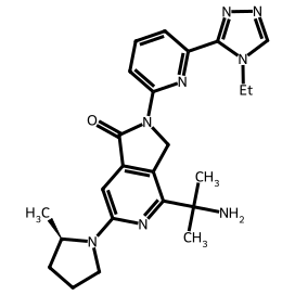 CCn1cnnc1-c1cccc(N2Cc3c(cc(N4CCC[C@H]4C)nc3C(C)(C)N)C2=O)n1